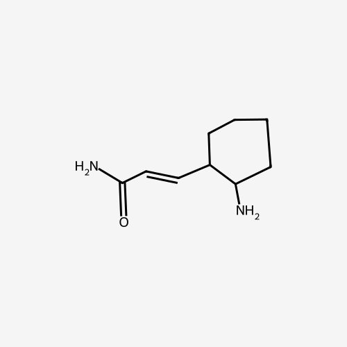 NC(=O)C=CC1CCCCC1N